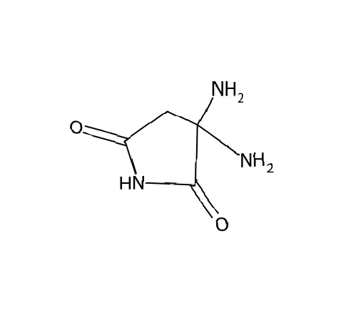 NC1(N)CC(=O)NC1=O